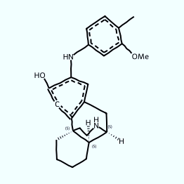 COc1cc(Nc2cc3c(cc2O)[C@]24CCCC[C@@H]2[C@H](C3)NCC4)ccc1C